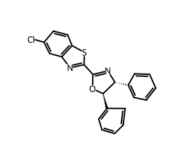 Clc1ccc2sc(C3=N[C@H](c4ccccc4)[C@@H](c4ccccc4)O3)nc2c1